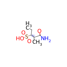 CC/C(=C(/C)C(N)=O)S(=O)(=O)O